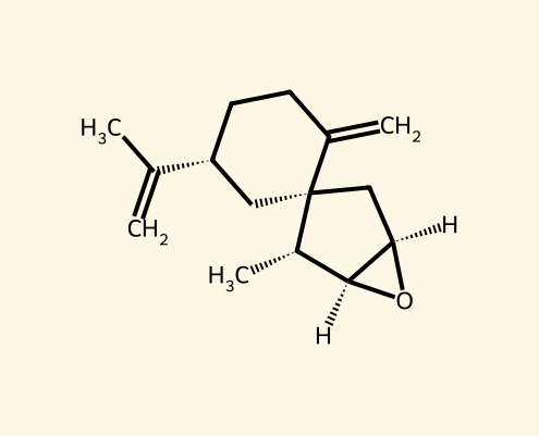 C=C(C)[C@@H]1CCC(=C)[C@@]2(C1)C[C@H]1O[C@H]1[C@@H]2C